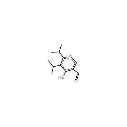 CC(C)c1ncc(C=O)c(S)c1C(C)C